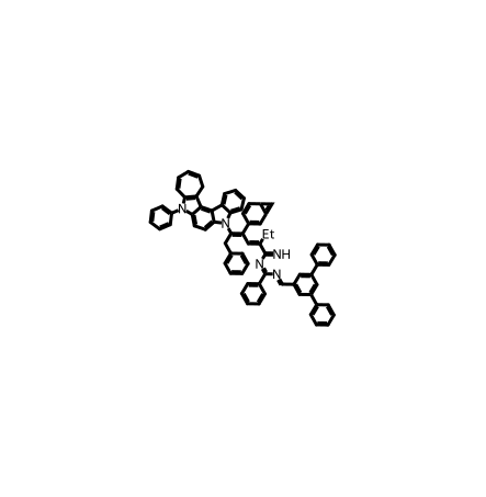 CC/C(=C\C(C1=CC2=CC2C=C1)=C(/Cc1ccccc1)n1c2ccccc2c2c3c4c(n(-c5ccccc5)c3ccc21)C=CC=CC4)C(=N)/N=C(\N=C\c1cc(-c2ccccc2)cc(-c2ccccc2)c1)c1ccccc1